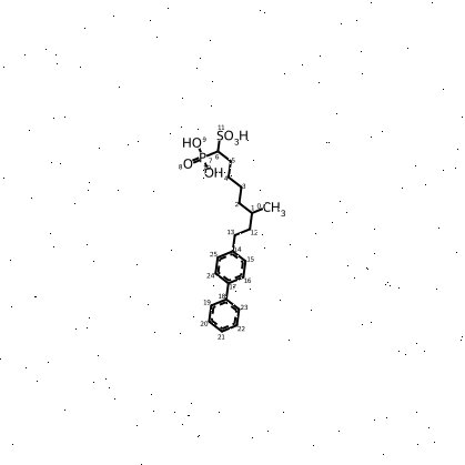 CC(CCCCC(P(=O)(O)O)S(=O)(=O)O)CCc1ccc(-c2ccccc2)cc1